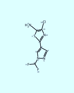 Nc1sc(-c2cnn(C(F)F)c2)nc1Cl